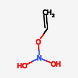 C=CON(O)O